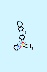 CCS(=O)(=O)N(Cc1ccccn1)c1ccc(Oc2ccc3c(c2)CCCC3)cc1